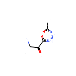 C[C@H](N)C(=O)c1nnc(C(C)(C)C)o1